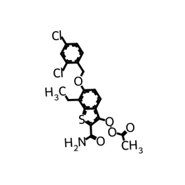 CCc1c(OCc2ccc(Cl)cc2Cl)ccc2c(OOC(C)=O)c(C(N)=O)sc12